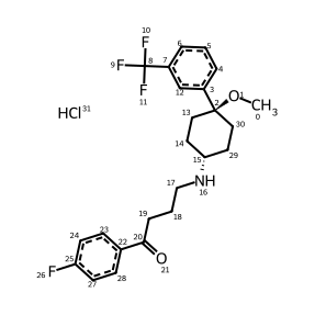 CO[C@]1(c2cccc(C(F)(F)F)c2)CC[C@@H](NCCCC(=O)c2ccc(F)cc2)CC1.Cl